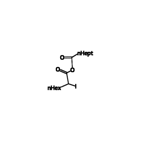 CCCCCCCC(=O)OC(=O)C(I)CCCCCC